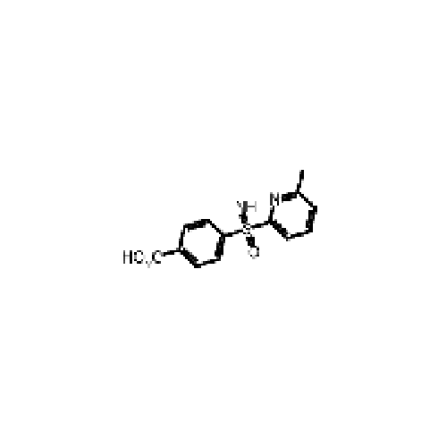 Cc1cccc(S(=N)(=O)c2ccc(C(=O)O)cc2)n1